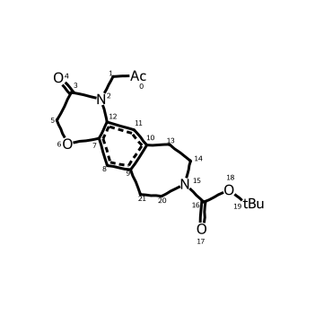 CC(=O)CN1C(=O)COc2cc3c(cc21)CCN(C(=O)OC(C)(C)C)CC3